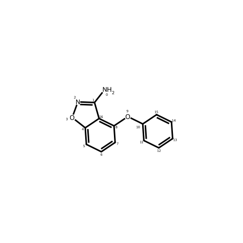 Nc1noc2cccc(Oc3ccccc3)c12